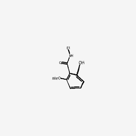 CCNC(=O)c1c(O)cccc1OC